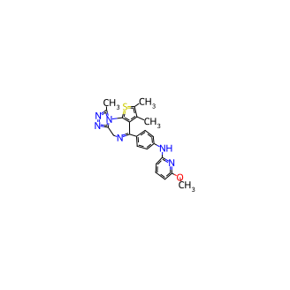 COc1cccc(Nc2ccc(C3=NCc4nnc(C)n4-c4sc(C)c(C)c43)cc2)n1